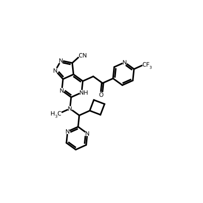 CN(c1nc2nnc(C#N)c-2c(CC(=O)c2ccc(C(F)(F)F)nc2)[nH]1)C(c1ncccn1)C1CCC1